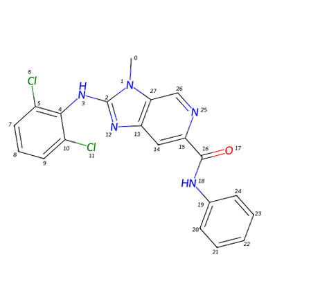 Cn1c(Nc2c(Cl)cccc2Cl)nc2cc(C(=O)Nc3ccccc3)ncc21